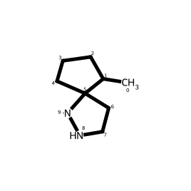 CC1CCCC12CCN[N]2